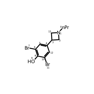 CCCN1CC(c2cc(Br)c(O)c(Br)c2)C1